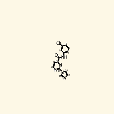 O=C(Nc1cccc(Cl)c1)c1ccnc(-n2ccnc2)n1